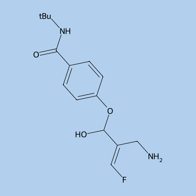 CC(C)(C)NC(=O)c1ccc(OC(O)/C(=C/F)CN)cc1